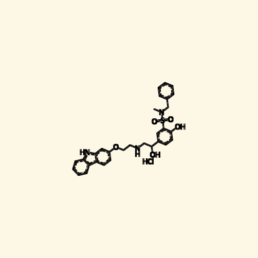 CN(Cc1ccccc1)S(=O)(=O)c1cc(C(O)CNCCOc2ccc3c(c2)[nH]c2ccccc23)ccc1O.Cl